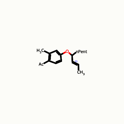 C/C=C/C(CCCCC)Oc1ccc(C(C)=O)c(C)c1